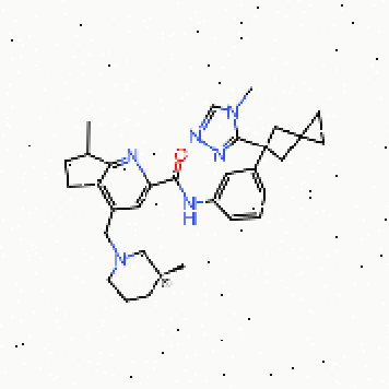 CC1CCc2c(CN3CCC[C@H](C)C3)cc(C(=O)Nc3cccc(C4(c5nncn5C)CC5(CC5)C4)c3)nc21